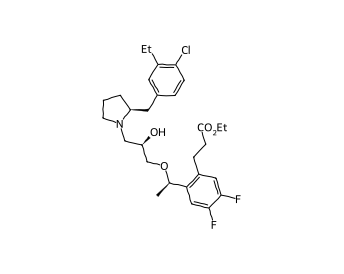 CCOC(=O)CCc1cc(F)c(F)cc1[C@@H](C)OC[C@H](O)CN1CCC[C@H]1Cc1ccc(Cl)c(CC)c1